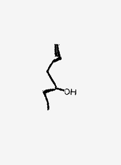 [CH]=CCC(O)CC